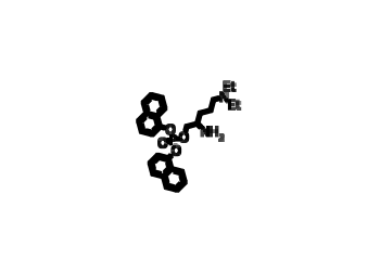 CCN(CC)CCCC(N)COP(=O)(Oc1cccc2ccccc12)Oc1cccc2ccccc12